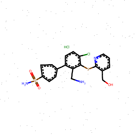 Cl.NCc1c(-c2ccc(S(N)(=O)=O)cc2)ccc(Cl)c1Sc1ncccc1CO